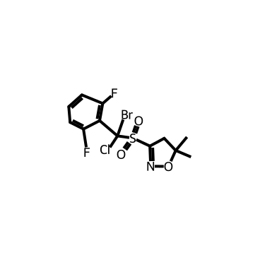 CC1(C)CC(S(=O)(=O)C(Cl)(Br)c2c(F)cccc2F)=NO1